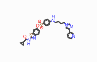 O=C(Nc1nc2ccc(OS(=O)(=O)c3ccc(NCCCCn4cnc(-c5cccnc5)c4)cc3)cc2s1)C1CC1